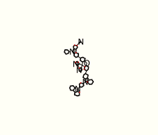 N#Cc1ccc2c(c1)c1cc(-c3ccc4c(c3)C3(c5cc(-c6ccc7c(c6)c6ccccc6n7-c6ccc(-n7c8ccccc8c8ccccc87)cc6)ccc5O4)c4cccnc4-c4ncccc43)ccc1n2-c1ccccc1